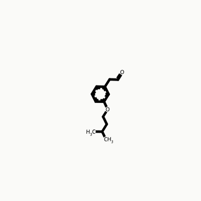 CC(C)CCOc1cccc(CC=O)c1